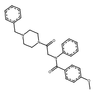 COc1ccc(C(=O)N(CC(=O)N2CCN(Cc3ccccc3)CC2)c2ccccc2)cc1